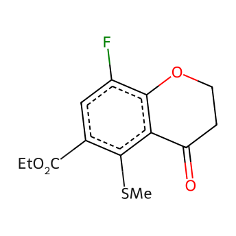 CCOC(=O)c1cc(F)c2c(c1SC)C(=O)CCO2